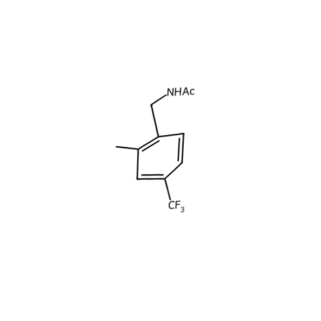 CC(=O)NCc1ccc(C(F)(F)F)cc1C